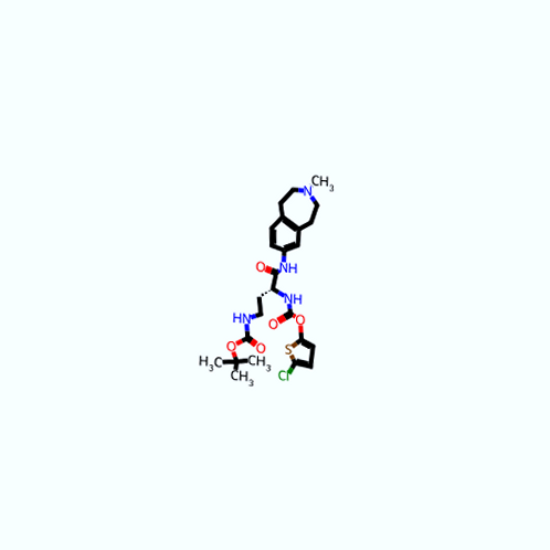 CN1CCc2ccc(NC(=O)[C@@H](CCNC(=O)OC(C)(C)C)NC(=O)Oc3ccc(Cl)s3)cc2CC1